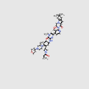 C=CC(=O)N1CC(c2cc(Nc3nc(-c4ccnc(N5CCn6c(cc7c6CC(C)(C)C7)C5=O)c4CO)cn(C)c3=O)ccc2N2CCN(C3CCOCC3)C[C@@H]2C)C1